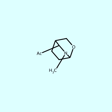 CC(=O)C1C2CCC(OC2)N1C